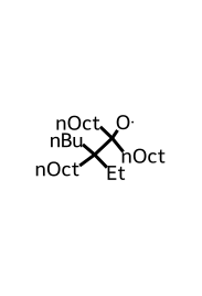 CCCCCCCCC([O])(CCCCCCCC)C(CC)(CCCC)CCCCCCCC